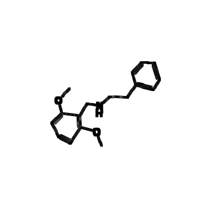 COc1cccc(OC)c1CNCCc1ccccc1